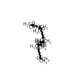 C=C(C)C(=O)OCCOC(C)(CC)C(=O)CCCCCOC(C)(C)C(=O)C(O)C(O)C(=O)C(C)(C)OCCCCCC(=O)C(C)C